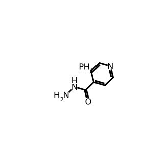 NNC(=O)c1ccncc1.P